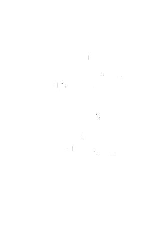 C=C(C)C(=O)O.NCCN.O=[N+]([O-])O.O=[N+]([O-])O